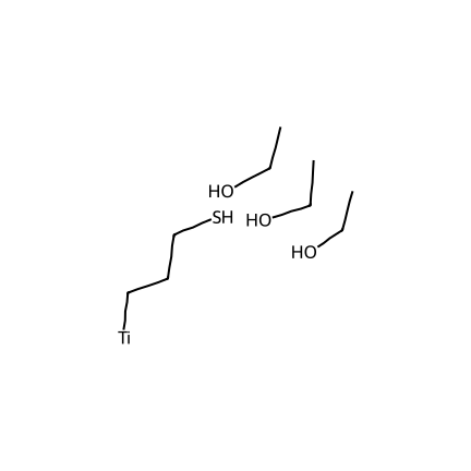 CCO.CCO.CCO.SCC[CH2][Ti]